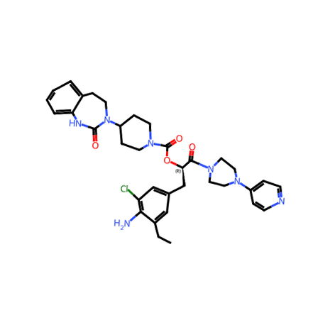 CCc1cc(C[C@@H](OC(=O)N2CCC(N3CCc4ccccc4NC3=O)CC2)C(=O)N2CCN(c3ccncc3)CC2)cc(Cl)c1N